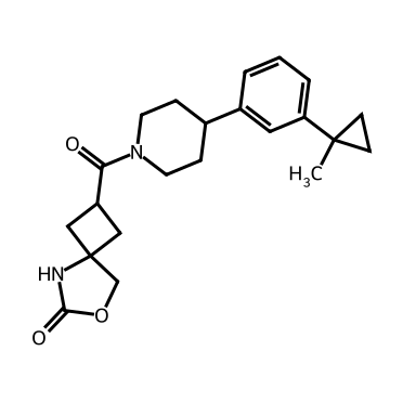 CC1(c2cccc(C3CCN(C(=O)C4CC5(COC(=O)N5)C4)CC3)c2)CC1